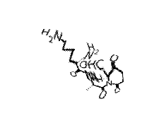 CC(C)[C@]1(C=O)C(=O)CCC(=O)N1C(=O)[C@H](C)NC(=O)[C@@H](N)CCCCN